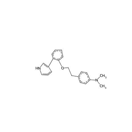 CN(C)c1ccc(CCOc2ccccc2C2=CNC=C=C2)cc1